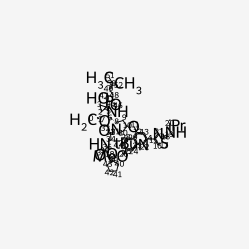 C=C[C@@H]1C[C@]1(NC(=O)[C@@H]1C[C@@H](Oc2cc(-c3csc(NC(C)C)n3)nc3cc(OC)ccc23)CN1C(=O)[C@@H](NC(=O)OC1CCCC1)C(C)(C)C)P(=O)(O)CC=C(C)C